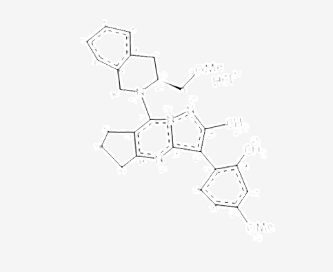 COC[C@@H]1Cc2ccccc2CN1c1c2c(nc3c(-c4ccc(OC)cc4C)c(C)nn13)CCC2.Cl